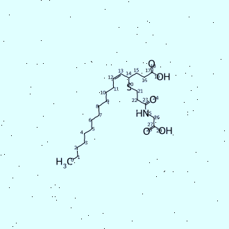 CCCCCCCCCCCC/C=C\C(CCC(=O)O)SCCC(=O)NCC(=O)O